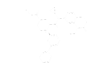 CCOC(=O)CN1C(=O)CSc2ccc(N(C(=O)C3CN(C(=O)OC(C)(C)C)CC[C@@H]3c3cccc(-c4ccccc4)c3)C3CC3)cc21